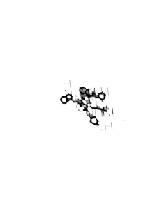 CN[C@@H](Cc1ccccc1)C(=O)N1CCCC[C@H]1C(=O)N[C@@H](Cc1c[nH]c2ccccc12)C(=O)N[C@@H](CCCNC(N)=O)C(=O)NCc1ccc(C)cc1